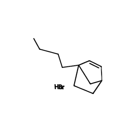 Br.CCCCC12C=CC(CC1)C2